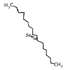 CCCCCCCCCCCCCCCCCC.[Se]=[Se]